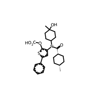 CC1(O)CCC(N(c2cc(-c3ccccc3)sc2OC(=O)O)C(=O)[C@H]2CC[C@@H](C)CC2)CC1